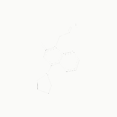 C=CCn1c(=O)cc(N2CCCC2)c2cccnc21